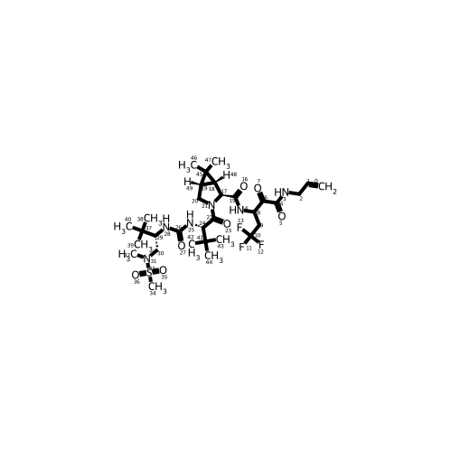 C=CCNC(=O)C(=O)C(CC(F)(F)F)NC(=O)[C@@H]1[C@@H]2[C@H](CN1C(=O)[C@@H](NC(=O)N[C@H](CN(C)S(C)(=O)=O)C(C)(C)C)C(C)(C)C)C2(C)C